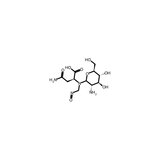 NC(=O)C[C@@H](C(=O)O)N(CN=O)C1O[C@@H](CO)[C@H](O)[C@@H](O)[C@@H]1N